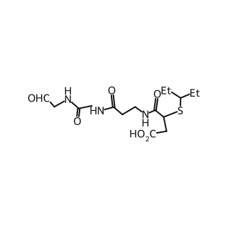 CCC(CC)SC(CC(=O)O)C(=O)NCCC(=O)NCC(=O)NCC=O